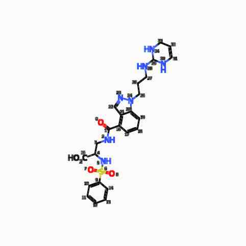 O=C(NCC(NS(=O)(=O)c1ccccc1)C(=O)O)c1cccc2c1cnn2CCCNC1NC=CCN1